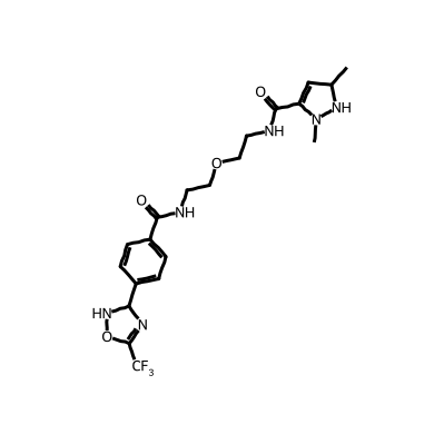 CC1C=C(C(=O)NCCOCCNC(=O)c2ccc(C3N=C(C(F)(F)F)ON3)cc2)N(C)N1